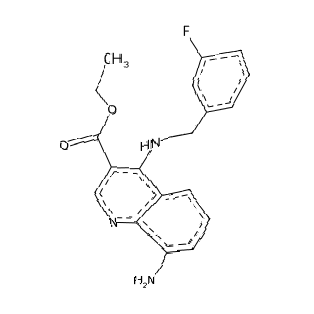 CCOC(=O)c1cnc2c(N)cccc2c1NCc1cccc(F)c1